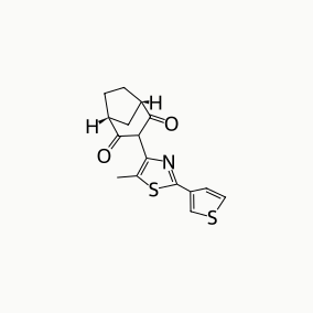 Cc1sc(-c2ccsc2)nc1C1C(=O)[C@@H]2CC[C@@H](C2)C1=O